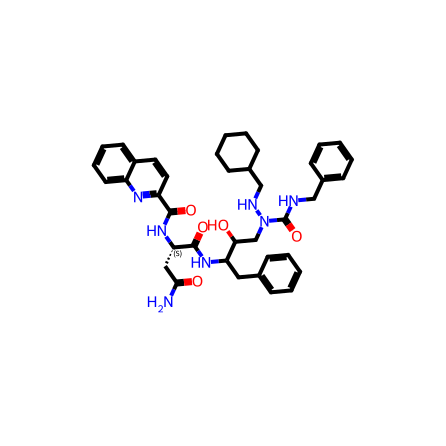 NC(=O)C[C@H](NC(=O)c1ccc2ccccc2n1)C(=O)NC(Cc1ccccc1)C(O)CN(NCC1CCCCC1)C(=O)NCc1ccccc1